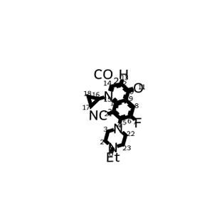 CCN1CCN(c2c(F)cc3c(=O)c(C(=O)O)cn(C4CC4)c3c2C#N)CC1